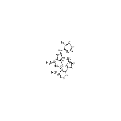 CCn1nccc1-c1c(-c2ccccc2C#N)nc(N)c2nn(Cc3ncccc3F)cc12